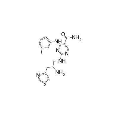 Cc1cccc(Nc2nc(NCC(N)Cc3cscn3)ncc2C(N)=O)c1